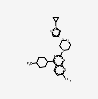 Cc1ccc2c(C3CCC(C(F)(F)F)CC3)nc(N3CCO[C@@H](c4cnn(C5CC5)c4)C3)nc2n1